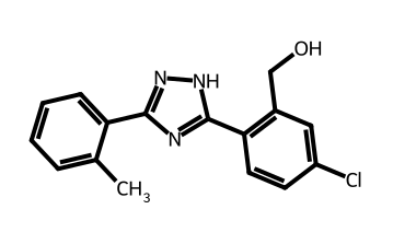 Cc1ccccc1-c1n[nH]c(-c2ccc(Cl)cc2CO)n1